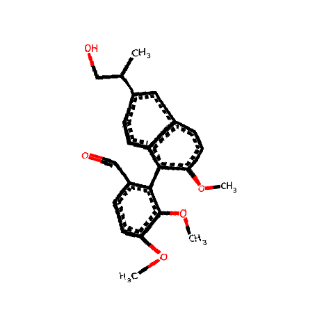 COc1ccc(C=O)c(-c2c(OC)ccc3cc(C(C)CO)ccc23)c1OC